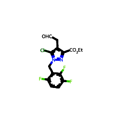 CCOC(=O)c1nn(Cc2c(F)ccc(F)c2F)c(Cl)c1CC=O